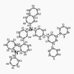 c1ccc(-c2cc(-c3ccccc3)cc(-c3ccc(N(c4cccc(-c5cccc6c5c5ccccc5n6-c5ccccc5)c4)c4ccc5ccccc5c4)cc3)c2)cc1